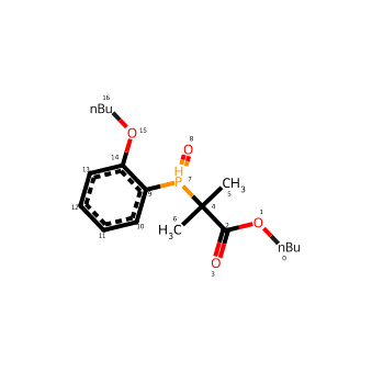 CCCCOC(=O)C(C)(C)[PH](=O)c1ccccc1OCCCC